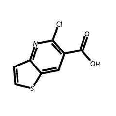 O=C(O)c1cc2sccc2nc1Cl